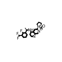 C[C@@H](Nc1ccnc2cnc(N3CCCS3(=O)=O)cc12)c1cccc(C(F)F)c1F